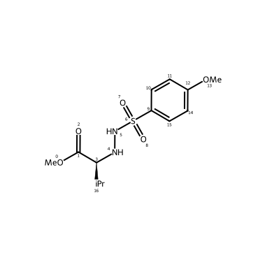 COC(=O)[C@@H](NNS(=O)(=O)c1ccc(OC)cc1)C(C)C